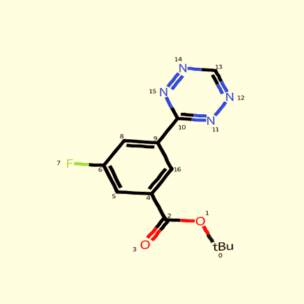 CC(C)(C)OC(=O)c1cc(F)cc(-c2nncnn2)c1